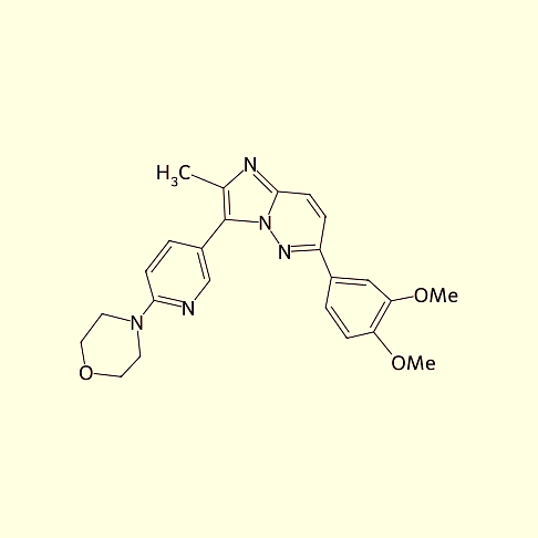 COc1ccc(-c2ccc3nc(C)c(-c4ccc(N5CCOCC5)nc4)n3n2)cc1OC